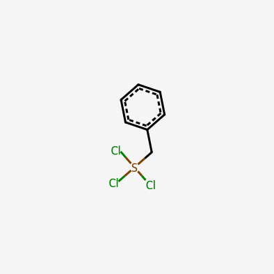 ClS(Cl)(Cl)Cc1ccccc1